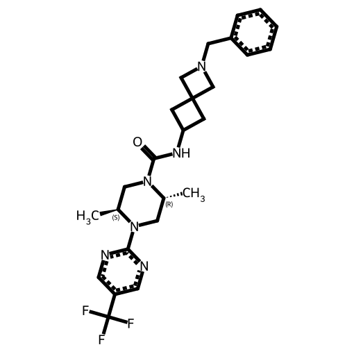 C[C@@H]1CN(c2ncc(C(F)(F)F)cn2)[C@@H](C)CN1C(=O)NC1CC2(C1)CN(Cc1ccccc1)C2